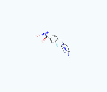 CN1CC2CCC1CN2Cc1ccc(C(=O)NO)cc1F